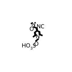 [C-]#[N+]C(C(=O)N(C)C)=C1C=C(C)N(CCOS(=O)(=O)O)C(C)=C1